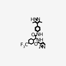 Cc1n[nH]c(C)c1-c1ccc(NC(=O)[C@@H](NC(=O)c2ccnn2C)C2CCC(C(F)(F)F)CC2)cc1